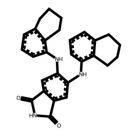 O=C1NC(=O)c2cc(Nc3cccc4c3CCCC4)c(Nc3cccc4c3CCCC4)cc21